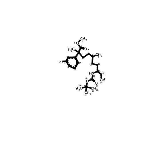 COC(=O)C(C)(CCC(C)CCC(CO)NC(=O)OC(C)(C)C)c1cccc(I)c1